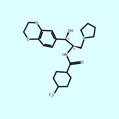 O=C(N[C@H](CN1CCCC1)[C@H](O)c1ccc2c(c1)OCCO2)C1CCC(C(F)(F)F)CC1